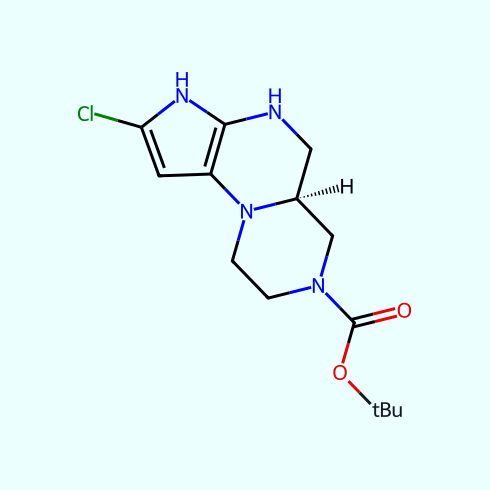 CC(C)(C)OC(=O)N1CCN2c3cc(Cl)[nH]c3NC[C@H]2C1